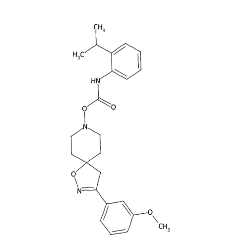 COc1cccc(C2=NOC3(CCN(OC(=O)Nc4ccccc4C(C)C)CC3)C2)c1